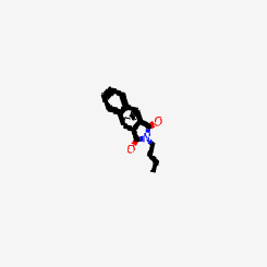 CCCCN1C(=O)C2C3CCC(c4ccccc43)C2C1=O